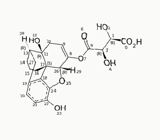 O=C(O)[C@H](O)[C@@H](O)C(=O)OC1=CC[C@@]2(O)[C@@H]3CCC[C@@]24c2c(ccc(O)c2O[C@@H]14)C3